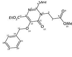 CCOC(=O)c1nc(SC)n(CCC(=O)OC)c(=O)c1OCc1ccccc1